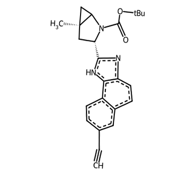 C#Cc1ccc2c(ccc3nc([C@@H]4C[C@@]5(C)CC5N4C(=O)OC(C)(C)C)[nH]c32)c1